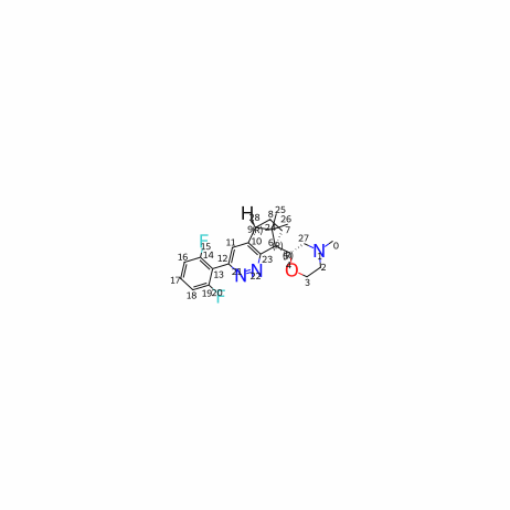 CN1CCO[C@H]([C@@]23CC[C@@H](c4cc(-c5c(F)cccc5F)nnc42)C3(C)C)C1